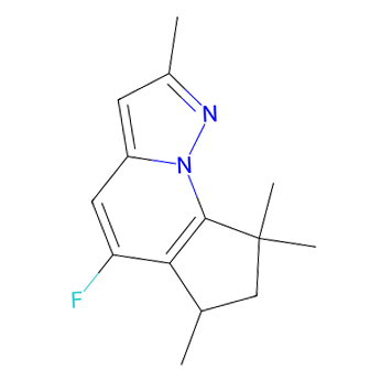 Cc1cc2cc(F)c3c(n2n1)C(C)(C)CC3C